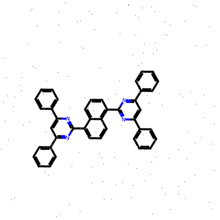 c1ccc(-c2cc(-c3ccccc3)nc(-c3cccc4c(-c5nc(-c6ccccc6)cc(-c6ccccc6)n5)cccc34)n2)cc1